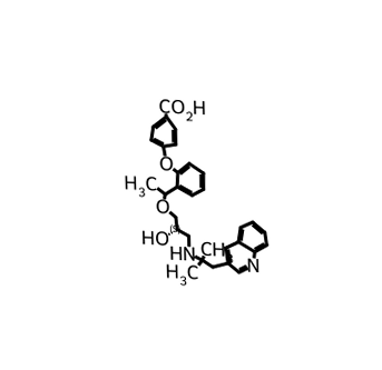 CC(OC[C@@H](O)CNC(C)(C)Cc1cnc2ccccc2c1)c1ccccc1Oc1ccc(C(=O)O)cc1